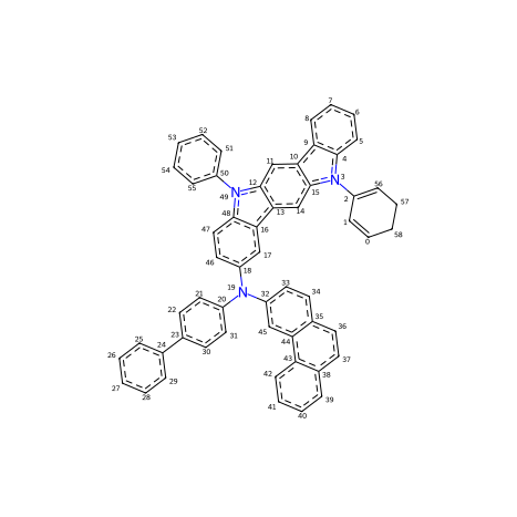 C1=CC(n2c3ccccc3c3cc4c(cc32)c2cc(N(c3ccc(-c5ccccc5)cc3)c3ccc5ccc6ccccc6c5c3)ccc2n4-c2ccccc2)=CCC1